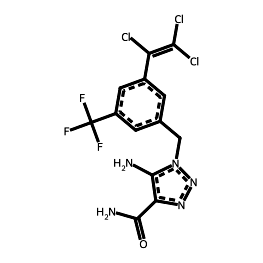 NC(=O)c1nnn(Cc2cc(C(Cl)=C(Cl)Cl)cc(C(F)(F)F)c2)c1N